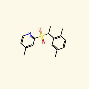 Cc1ccnc(S(=O)(=O)C(C)c2cc(C)ccc2C)c1